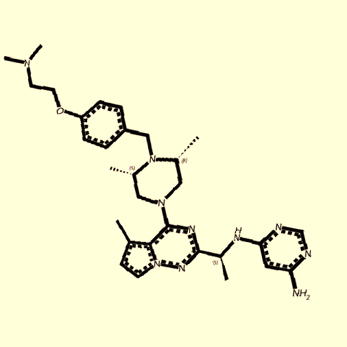 Cc1ccn2nc([C@H](C)Nc3cc(N)ncn3)nc(N3C[C@@H](C)N(Cc4ccc(OCCN(C)C)cc4)[C@@H](C)C3)c12